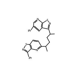 CC(C)c1cnc2snc(C(C)CCC(C)c3ccc4snc(C(C)C)c4n3)c2c1